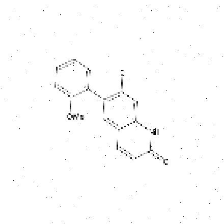 COc1ccccc1-c1cc2ccc(=O)[nH]c2cc1Cl